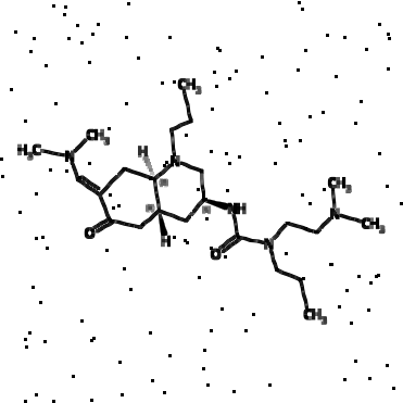 CCCN(CCN(C)C)C(=O)N[C@H]1C[C@@H]2CC(=O)C(=CN(C)C)C[C@H]2N(CCC)C1